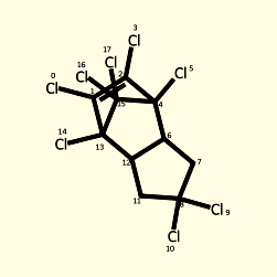 ClC1=C(Cl)C2(Cl)C3CC(Cl)(Cl)CC3C1(Cl)C2(Cl)Cl